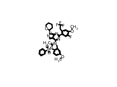 CCN(c1ccc(OC)cc1CNc1nc(-c2cc(F)c(OC)cc2CC(F)(F)F)nc2c1cnn2C1CCCCO1)S(=O)(=O)c1ccccc1